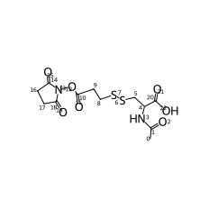 CC(=O)NC(CSSCCC(=O)ON1C(=O)CCC1=O)C(=O)O